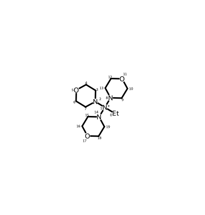 [CH2]C[N+](N1CCOCC1)(N1CCOCC1)N1CCOCC1